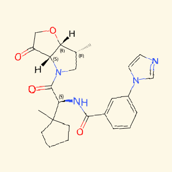 C[C@@H]1CN(C(=O)[C@@H](NC(=O)c2cccc(-n3ccnc3)c2)C2(C)CCCC2)[C@@H]2C(=O)CO[C@H]12